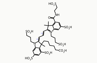 CC1(C)C(/C=C/C=C2/N(CCCS(=O)(=O)O)c3cc(S(=O)(=O)O)cc(S(=O)(=O)O)c3C2(C)CCCCCC(=O)O)=[N+](CCCS(=O)(=O)O)c2cc(S(=O)(=O)O)cc(C(=O)NCCS(=O)(=O)O)c21